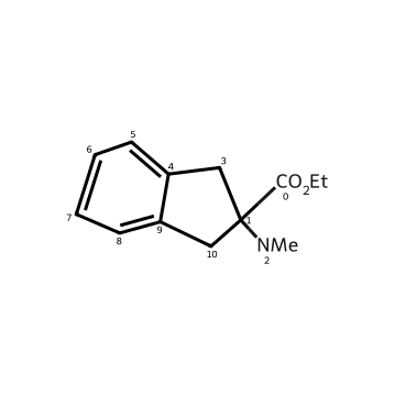 CCOC(=O)C1(NC)Cc2ccccc2C1